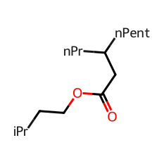 CCCCCC(CCC)CC(=O)OCCC(C)C